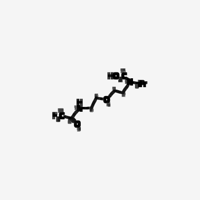 CC(C)N(CCOCCNC(=O)C(F)(F)F)C(=O)O